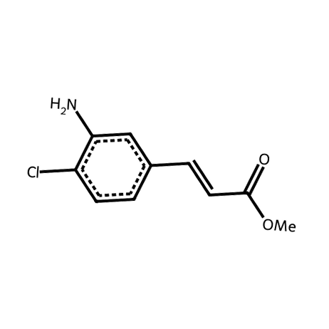 COC(=O)C=Cc1ccc(Cl)c(N)c1